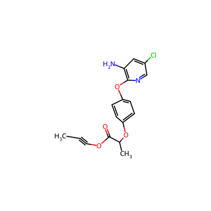 CC#COC(=O)C(C)Oc1ccc(Oc2ncc(Cl)cc2N)cc1